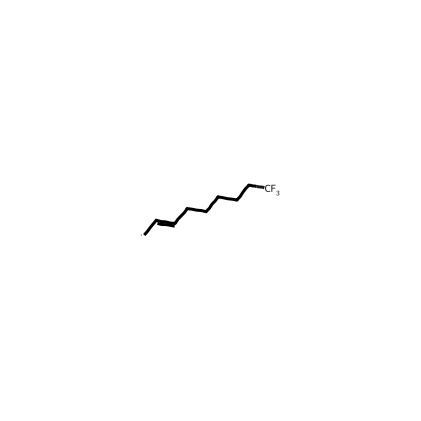 [CH2]/C=C/CCCCCC(F)(F)F